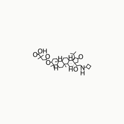 CC(C)C1=C2[C@H]3CC[C@@H]4[C@@]5(C)CC[C@H](OC(=O)CC(C)(C)C(=O)O)C(C)(C)[C@@H]5CC[C@@]4(C)[C@]3(C)CC[C@@]2([C@@H](O)CNC2CCC2)CC1=O